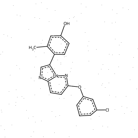 Cc1cc(O)ccc1-c1cnc2ccc(Oc3cccc(Cl)c3)nn12